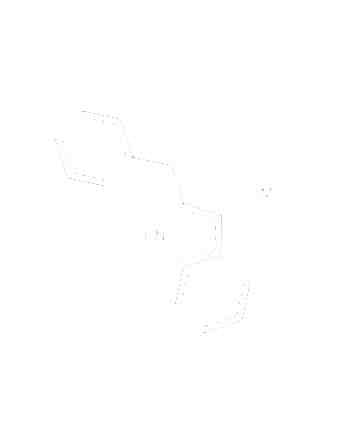 COc1c(Cc2ccccc2)[nH]c2ccccc12